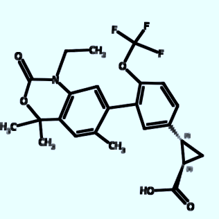 CCN1C(=O)OC(C)(C)c2cc(C)c(-c3cc([C@@H]4C[C@H]4C(=O)O)ccc3OC(F)(F)F)cc21